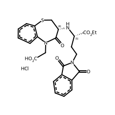 CCOC(=O)[C@H](CCN1C(=O)c2ccccc2C1=O)N[C@H]1CSc2ccccc2N(CC(=O)O)C1=O.Cl